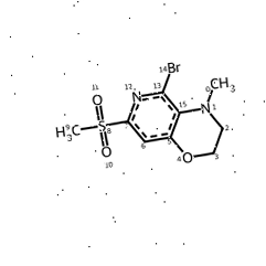 CN1CCOc2cc(S(C)(=O)=O)nc(Br)c21